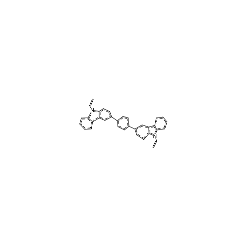 C=Cn1c2ccccc2c2cc(-c3ccc(-c4ccc5c(c4)c4ccccc4n5C=C)cc3)ccc21